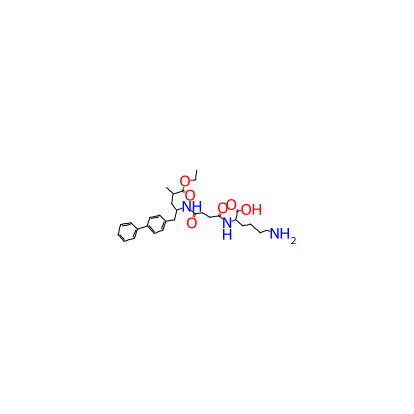 CCOC(=O)C(C)CC(Cc1ccc(-c2ccccc2)cc1)NC(=O)CCC(=O)NC(CCCCN)C(=O)O